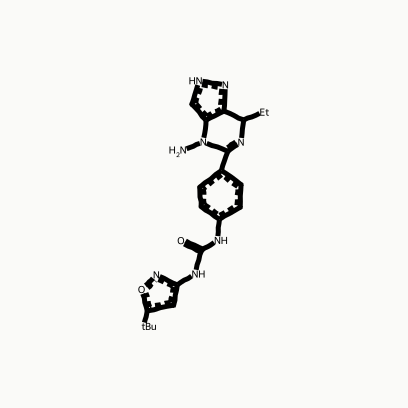 CCC1N=C(c2ccc(NC(=O)Nc3cc(C(C)(C)C)on3)cc2)N(N)c2c[nH]nc21